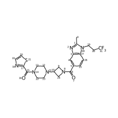 Cc1nc2cc(C(=O)N3CC(N4CCN(C(=O)c5nccs5)CC4)C3)ccc2n1CCC(F)(F)F